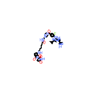 O=C(CCCCCCCNc1cccc2c1C(=O)N(C1CCC(=O)NC1=O)C2=O)NCCN1CCN(C(=O)c2ccc(Nc3nc(C4CC4)cn4c(-c5cn[nH]c5)cnc34)c(F)c2)CC1